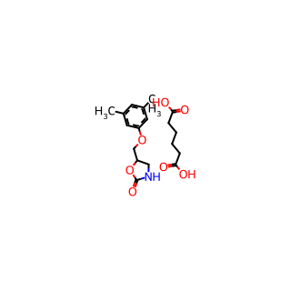 Cc1cc(C)cc(OCC2CNC(=O)O2)c1.O=C(O)CCCCC(=O)O